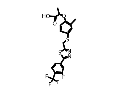 Cc1cc(SCc2nnc(-c3ccc(C(F)(F)F)c(F)c3)s2)ccc1OC(C)C(=O)O